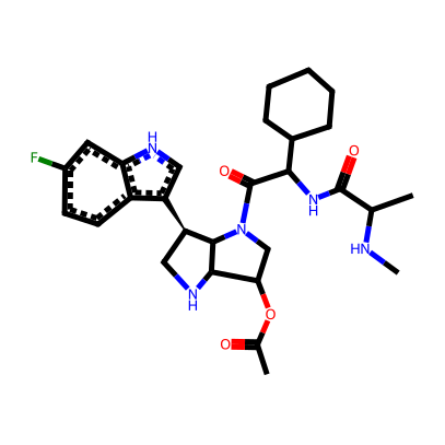 CNC(C)C(=O)NC(C(=O)N1CC(OC(C)=O)C2NC[C@@H](c3c[nH]c4cc(F)ccc34)C21)C1CCCCC1